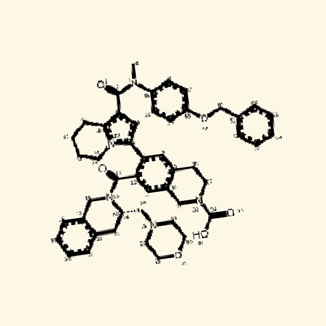 CN(C(=O)c1cc(-c2cc3c(cc2C(=O)N2Cc4ccccc4C[C@H]2CN2CCOCC2)CN(C(=O)O)CC3)n2c1CCCC2)c1ccc(OCc2ccccc2)cc1